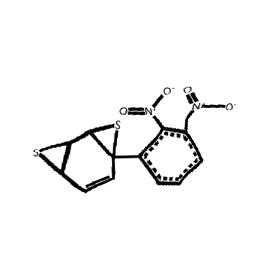 O=[N+]([O-])c1cccc(C23C=CC4SC4C2S3)c1[N+](=O)[O-]